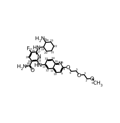 COCCOCCOc1ccc2cc(Nc3nc(NC4CCCCC4N)c(F)cc3C(N)=O)ccc2n1